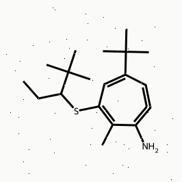 CCC(SC1=C(C)C(N)=C=CC(C(C)(C)C)=C1)C(C)(C)C